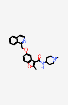 Cc1oc2ccc(OCc3nccc4ccccc34)cc2c1C(=O)NC1CCN(C)CC1